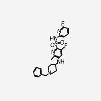 Cc1nc(S(=O)(=O)Nc2cccc(F)n2)c(F)cc1NC1CCN(Cc2ccccc2)CC1